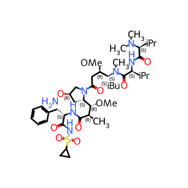 CC[C@H](C)[C@@H]([C@@H](CC(=O)N1C[C@H](ON)C[C@H]1[C@H](OC)[C@@H](C)C(=O)N[C@@H](Cc1ccccc1)C(=O)NS(=O)(=O)C1CC1)OC)N(C)C(=O)[C@@H](NC(=O)[C@H](C(C)C)N(C)C)C(C)C